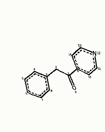 O=C(Cc1ccccc1)c1ccncc1